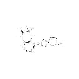 CC1(C)Oc2c(ncnc2N2CC3(CCNC3)C2)NC1=O